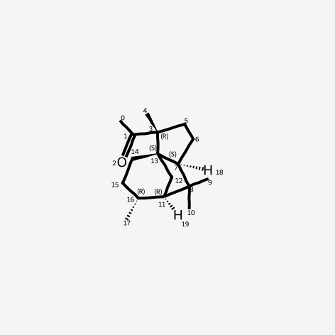 CC(=O)[C@]1(C)CC[C@H]2C(C)(C)[C@@H]3C[C@@]21CC[C@H]3C